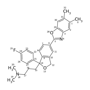 Cc1cc2nc(-c3ccc4c(c3)COC4(CCCN(C)C)c3ccc(F)cc3)oc2cc1C